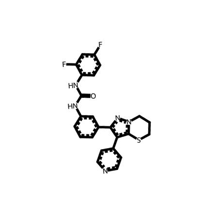 O=C(Nc1cccc(-c2nn3c(c2-c2ccncc2)SCCC3)c1)Nc1ccc(F)cc1F